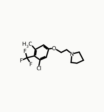 Cc1cc(OCCN2CCCC2)cc(Cl)c1C(F)(F)F